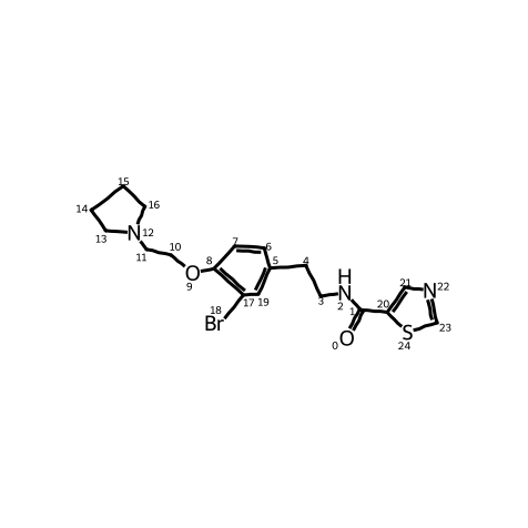 O=C(NCCc1ccc(OCCN2CCCC2)c(Br)c1)c1cncs1